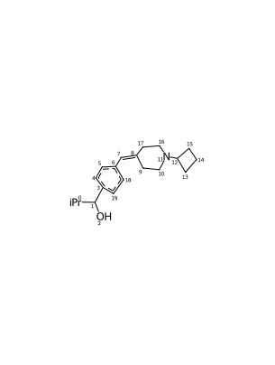 CC(C)C(O)c1ccc(C=C2CCN(C3CCC3)CC2)cc1